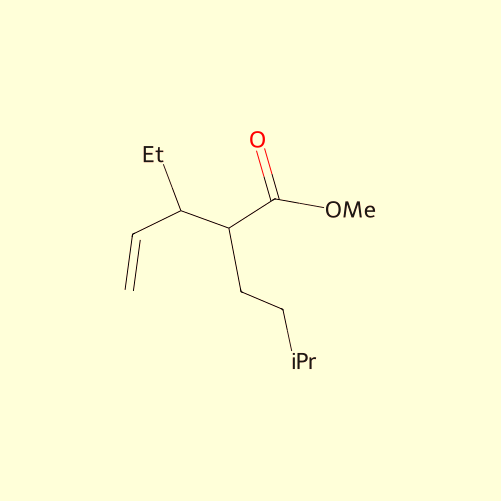 C=CC(CC)C(CCC(C)C)C(=O)OC